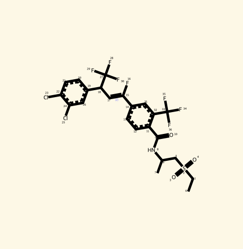 CCS(=O)(=O)CC(C)NC(=O)c1ccc(/C(F)=C/C(c2ccc(Cl)c(Cl)c2)C(F)(F)F)cc1C(F)(F)F